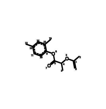 C=C(C)OC(C)C(=O)Oc1ccc(C)cc1C